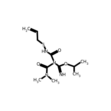 C=CCSNC(=O)N(C(=N)OC(C)C)C(=O)N(C)C